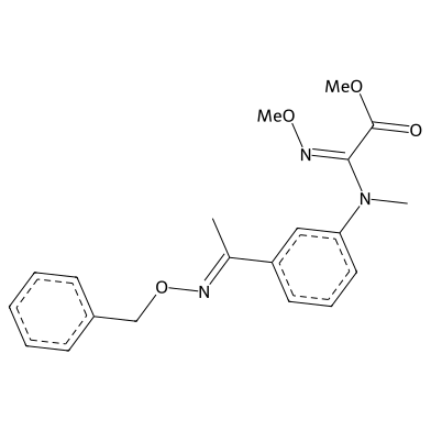 CON=C(C(=O)OC)N(C)c1cccc(C(C)=NOCc2ccccc2)c1